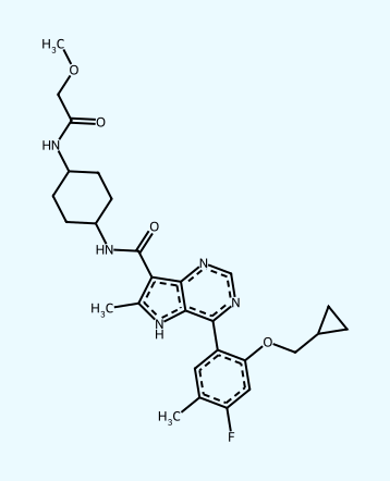 COCC(=O)NC1CCC(NC(=O)c2c(C)[nH]c3c(-c4cc(C)c(F)cc4OCC4CC4)ncnc23)CC1